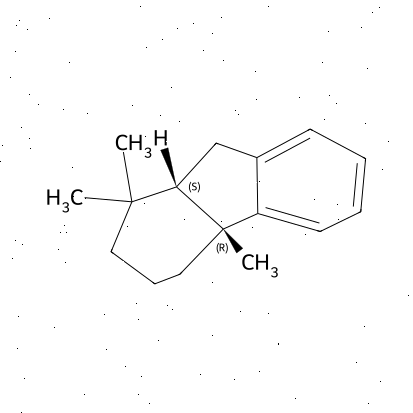 CC1(C)CCC[C@@]2(C)c3ccccc3C[C@@H]12